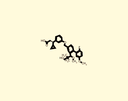 COc1ccc(F)c(-c2ccc(COc3cccc([C@H](CC(=O)O)C4CC4)c3)cc2C(OC)C(C)(C)CO)c1